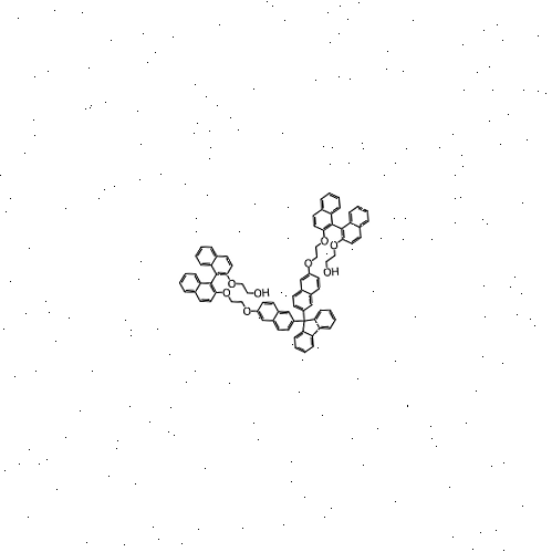 OCCOc1ccc2ccccc2c1-c1c(OCCOc2ccc3cc(C4(c5ccc6cc(OCCOc7ccc8ccccc8c7-c7c(OCCO)ccc8ccccc78)ccc6c5)c5ccccc5-c5ccccc54)ccc3c2)ccc2ccccc12